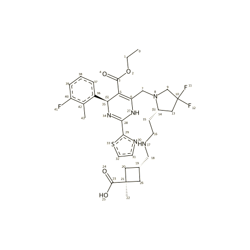 CCOC(=O)C1=C(CN2CC(F)(F)C[C@@H]2CCNC[C@H]2C[C@](C)(C(=O)O)C2)NC(c2nccs2)=N[C@H]1c1cccc(F)c1C